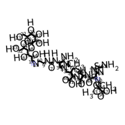 Cn1c(N)c(NC(=O)NCC/N=C\C(O)C(O)C(OC2OC(CO)C(O)C(O)C2O)C(O)CO)c[n+]1CC1=C(C(=O)O)N2C(=O)[C@@H](NC(=O)/C(=N\OC(C)(C)C(=O)O)c3nsc(N)n3)[C@H]2SC1